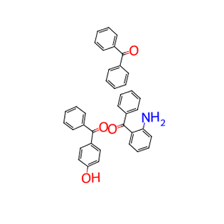 Nc1ccccc1C(=O)c1ccccc1.O=C(c1ccccc1)c1ccc(O)cc1.O=C(c1ccccc1)c1ccccc1